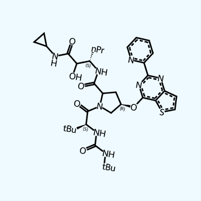 CCC[C@H](NC(=O)C1C[C@@H](Oc2nc(-c3ccccn3)nc3ccsc23)CN1C(=O)[C@@H](NC(=O)NC(C)(C)C)C(C)(C)C)C(O)C(=O)NC1CC1